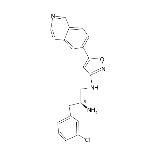 N[C@H](CNc1cc(-c2ccc3cnccc3c2)on1)Cc1cccc(Cl)c1